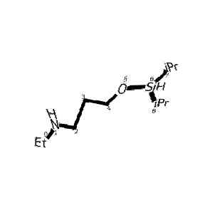 CCNCCCO[SiH](C(C)C)C(C)C